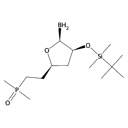 B[C@@H]1O[C@H](CCP(C)(C)=O)C[C@@H]1O[Si](C)(C)C(C)(C)C